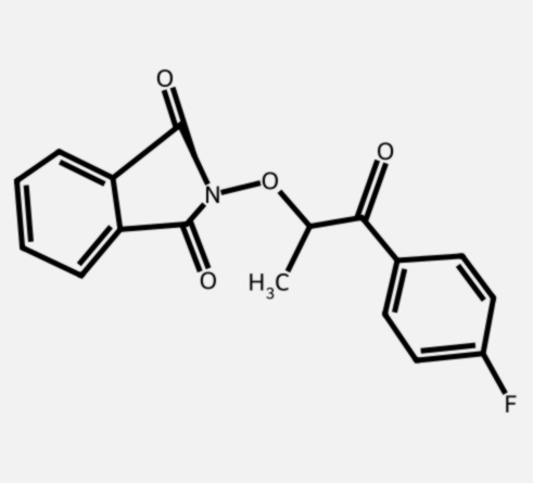 CC(ON1C(=O)c2ccccc2C1=O)C(=O)c1ccc(F)cc1